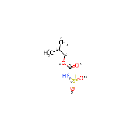 CC(C)COC(=O)N[SH](=O)=O